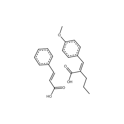 CCCC(=Cc1ccc(OC)cc1)C(=O)O.O=C(O)C=Cc1ccccc1